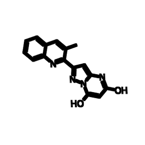 Cc1cc2ccccc2nc1-c1cc2nc(O)cc(O)n2n1